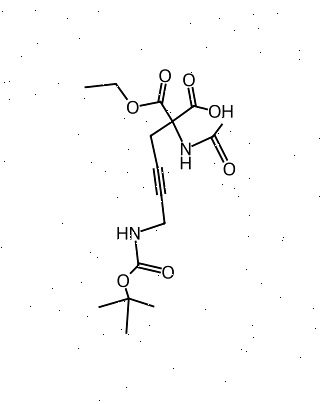 CCOC(=O)C(CC#CCNC(=O)OC(C)(C)C)(NC(C)=O)C(=O)O